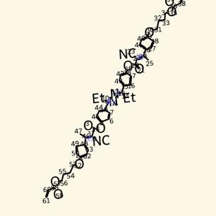 [C-]#[N+]/C(C(=O)Oc1ccc(/C(CC)=N/N=C(\CC)c2ccc(OC(=O)/C(C#N)=C(\C)c3ccc(OCCCCOC(=O)C=C)cc3)cc2)cc1)=C(/C)c1ccc(OCCCCOC(=O)C=C)cc1